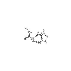 COC(=O)c1cnc2c(c1)SCC2